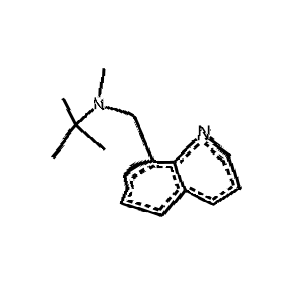 CN(Cc1cccc2cccnc12)C(C)(C)C